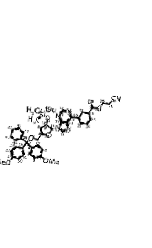 COc1ccc(C(OC[C@H]2C[C@@H](O[Si](C)(C)C(C)(C)C)[C@H](n3cnc4c(-c5cccc(C(=O)OCCC#N)c5)ncnc43)O2)(c2ccccc2)c2ccc(OC)cc2)cc1